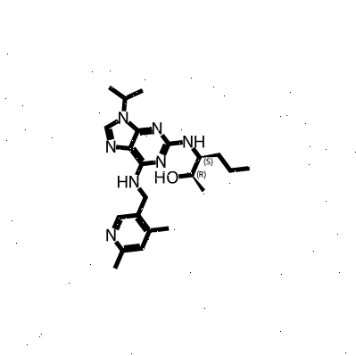 CCC[C@H](Nc1nc(NCc2cnc(C)cc2C)c2ncn(C(C)C)c2n1)[C@@H](C)O